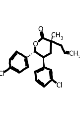 C=CC[C@@]1(C)C[C@@H](c2cccc(Cl)c2)[C@H](c2ccc(Cl)cc2)OC1=O